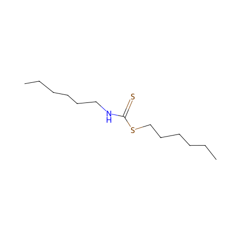 CCCCCCNC(=S)SCCCCCC